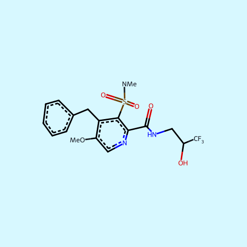 CNS(=O)(=O)c1c(C(=O)NCC(O)C(F)(F)F)ncc(OC)c1Cc1ccccc1